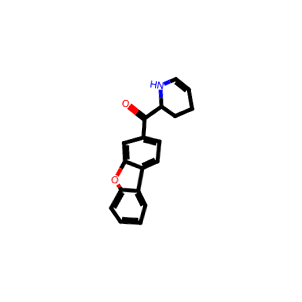 O=C(c1ccc2c(c1)oc1ccccc12)C1CCC=CN1